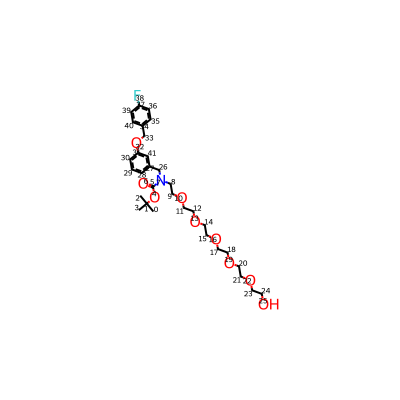 CC(C)(C)OC(=O)N(CCOCCOCCOCCOCCOCCO)Cc1cccc(OCc2ccc(F)cc2)c1